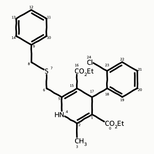 CCOC(=O)C1=C(C)NC(CSCc2ccccc2)=C(C(=O)OCC)C1c1ccccc1Cl